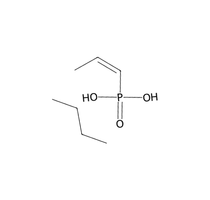 C/C=C\P(=O)(O)O.CCCC